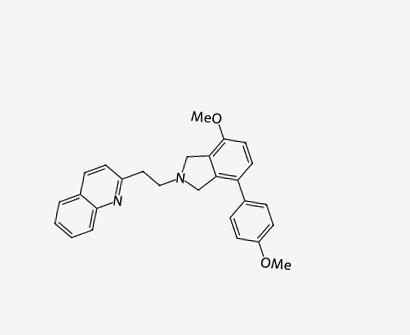 COc1ccc(-c2ccc(OC)c3c2CN(CCc2ccc4ccccc4n2)C3)cc1